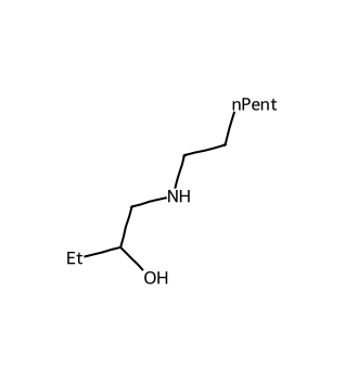 CCCCCCCNCC(O)CC